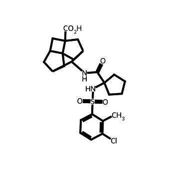 Cc1c(Cl)cccc1S(=O)(=O)NC1(C(=O)NC2C3CC4CC5(C(=O)O)CC2CC45C3)CCCC1